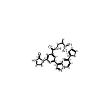 CCN(CC)C(C)CNC(=O)c1cc(-c2cnn3ccc(-c4cccs4)nc23)nc(N2CCNC2=O)c1